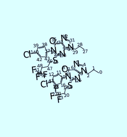 CCCn1cnc2c(=O)n(-c3ccc(Cl)cc3)c(SCCC(F)(F)F)nc21.CCCn1cnc2c(=O)n(-c3ccc(Cl)cc3)c(SCCCC(F)(F)F)nc21